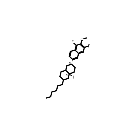 CCCCCCC1CCC2C[C@H](c3ccc4c(F)c(OC)c(F)cc4c3)CC[C@@H]2C1